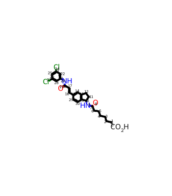 O=C(O)CCCCCCC(=O)NC1CCc2cc(C=CC(=O)Nc3cc(Cl)cc(Cl)c3)ccc21